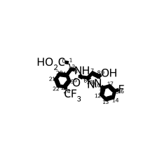 O=C(O)C[C@H](NC(=O)c1cc(O)n(-c2cccc(F)c2)n1)c1cccc(C(F)(F)F)c1